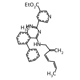 C=C(/C=C\C=C/C)CN/C(=N/C(=N)c1cncc(C(=O)OCC)c1)c1c(C)cccc1-c1ccccc1